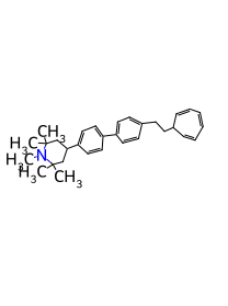 CN1C(C)(C)CC(c2ccc(-c3ccc(CCC4C=CC=CC=C4)cc3)cc2)CC1(C)C